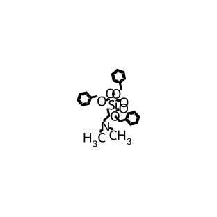 CCN(CC)CCC[Si](C(=O)OCc1ccccc1)(C(=O)OCc1ccccc1)C(=O)OCc1ccccc1